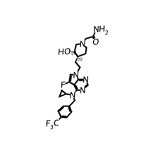 NC(=O)CN1CC[C@@H](CCn2cc(F)c3c(N(Cc4ccc(C(F)(F)F)cc4)C4CC4)ncnc32)[C@H](O)C1